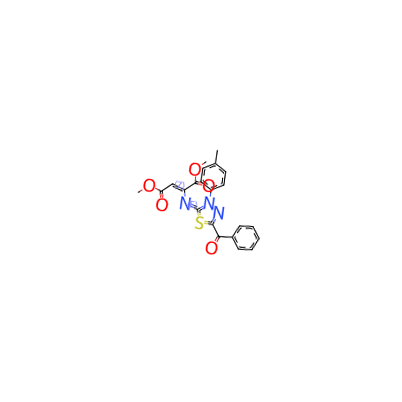 COC(=O)/C=C(\N=c1\sc(C(=O)c2ccccc2)nn1-c1ccc(C)cc1)C(=O)OC